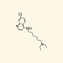 CCN(CC)CCCCCCNc1ccnc2cc(Cl)ccc12